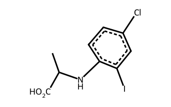 CC(Nc1ccc(Cl)cc1I)C(=O)O